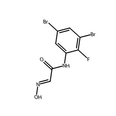 O=C(C=NO)Nc1cc(Br)cc(Br)c1F